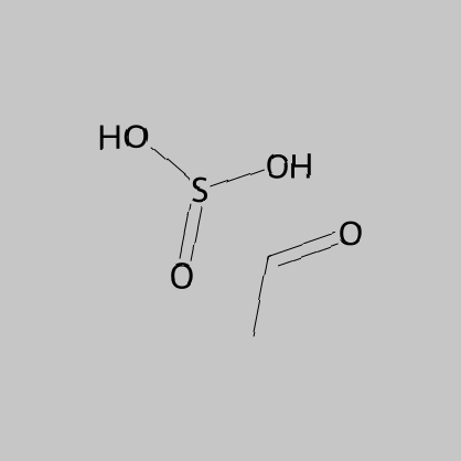 CC=O.O=S(O)O